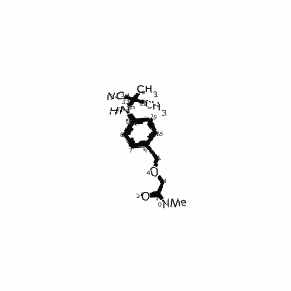 CNC(=O)COCc1ccc(NC(C)(C)C#N)cc1